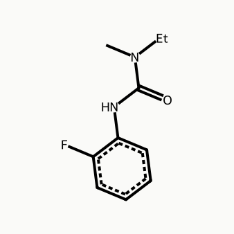 CCN(C)C(=O)Nc1ccccc1F